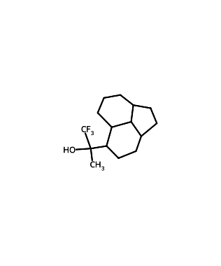 CC(O)(C1CCC2CCC3CCCC1C32)C(F)(F)F